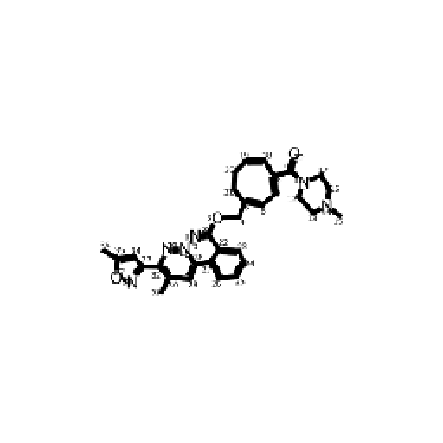 C/N=C(/OC/C1=C/C=C(C(=O)N2CCN(C)CC2)\C=C/CC1)c1ccccc1-c1cc(C)c(-c2cc(C)on2)nn1